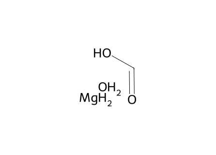 O.O=CO.[MgH2]